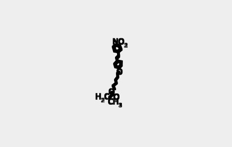 C=C(C)C(=O)OCCCCCCOc1ccc(/C=C/c2ccc([N+](=O)[O-])cc2)cc1